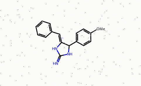 COc1ccc(C2NC(=N)N/C2=C\c2ccccc2)cc1